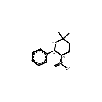 CC1(C)CC[C@@H]([N+](=O)[O-])[C@@H](c2ccccc2)N1